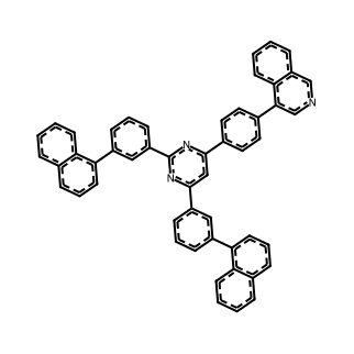 c1cc(-c2cc(-c3ccc(-c4cncc5ccccc45)cc3)nc(-c3cccc(-c4cccc5ccccc45)c3)n2)cc(-c2cccc3ccccc23)c1